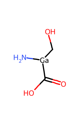 [NH2][Ga]([CH2]O)[C](=O)O